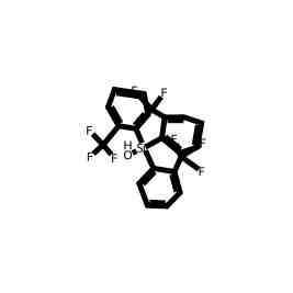 O[Si](c1ccccc1C(F)(F)F)(c1ccccc1C(F)(F)F)c1ccccc1C(F)(F)F